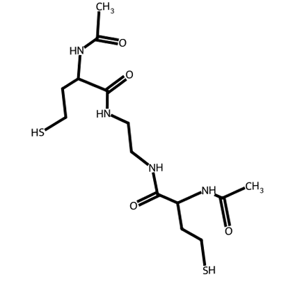 CC(=O)NC(CCS)C(=O)NCCNC(=O)C(CCS)NC(C)=O